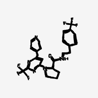 O=C(NCCc1ccc(C(F)(F)F)cc1)C1CCCN1c1cc(-c2ccncc2)nc(C(F)(F)F)n1